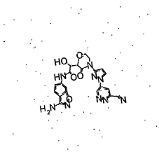 C[C@@H]1CN(c2ccn(-c3cnnc(C#N)c3)n2)C(=O)[C@@H](C(O)C(=O)Nc2ccc3c(N)noc3c2)O1